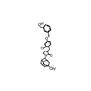 O=C1C(Cc2ccc(OCc3cccc(CO)c3)cc2Cl)CCN1C1C2CC3CC1CC(O)(C3)C2